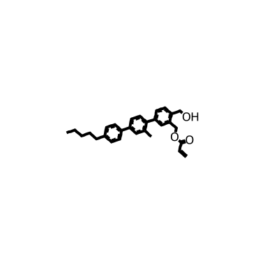 C=CC(=O)OCc1cc(-c2ccc(-c3ccc(CCCCC)cc3)cc2C)ccc1CO